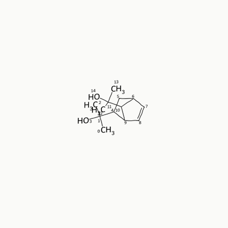 CC(C)(O)C1CC2C=CC1C2C(C)(C)O